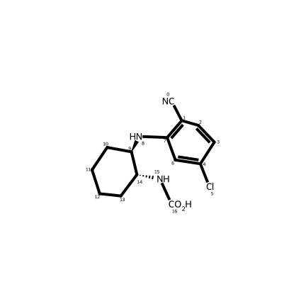 N#Cc1ccc(Cl)cc1N[C@@H]1CCCC[C@H]1NC(=O)O